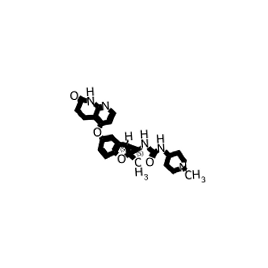 CN1CCC(NC(=O)N[C@H]2[C@@H]3c4cc(Oc5ccnc6c5CCC(=O)N6)ccc4OC23C)CC1